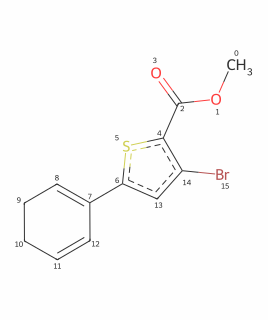 COC(=O)c1sc(C2=CCCC=C2)cc1Br